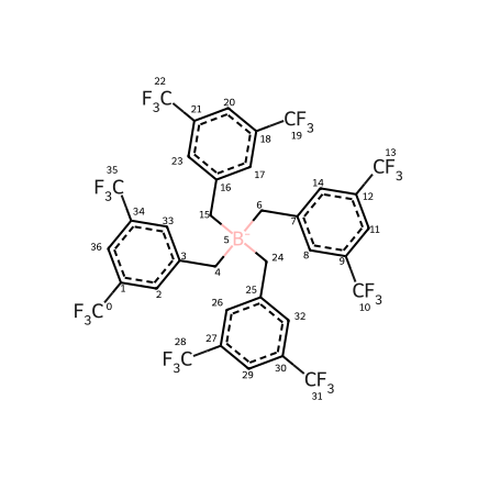 FC(F)(F)c1cc(C[B-](Cc2cc(C(F)(F)F)cc(C(F)(F)F)c2)(Cc2cc(C(F)(F)F)cc(C(F)(F)F)c2)Cc2cc(C(F)(F)F)cc(C(F)(F)F)c2)cc(C(F)(F)F)c1